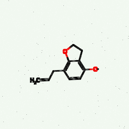 C=CCc1ccc([O])c2c1OCC2